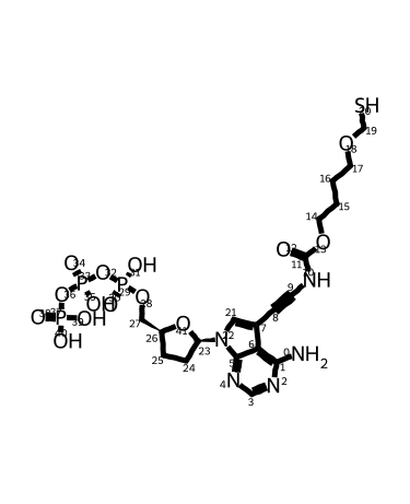 Nc1ncnc2c1c(C#CNC(=O)OCCCCOCS)cn2[C@H]1CC[C@@H](COP(=O)(O)OP(=O)(O)OP(=O)(O)O)O1